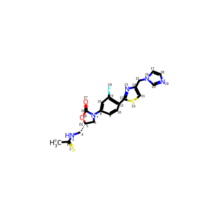 CC(=S)NC[C@H]1CN(c2ccc(-c3nc(Cn4ccnc4)cs3)c(F)c2)C(=O)O1